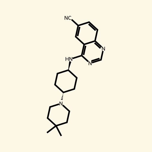 CC1(C)CCN([C@H]2CC[C@H](Nc3ncnc4ccc(C#N)cc34)CC2)CC1